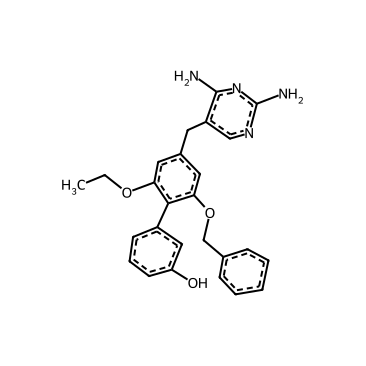 CCOc1cc(Cc2cnc(N)nc2N)cc(OCc2ccccc2)c1-c1cccc(O)c1